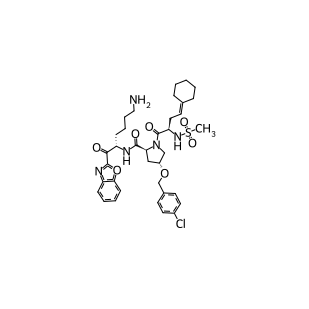 CS(=O)(=O)N[C@H](CC=C1CCCCC1)C(=O)N1C[C@H](OCc2ccc(Cl)cc2)C[C@H]1C(=O)N[C@@H](CCCCN)C(=O)c1nc2ccccc2o1